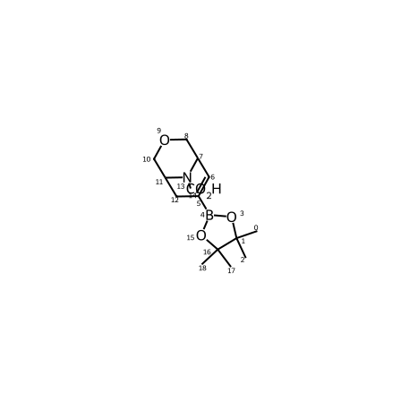 CC1(C)OB(C2=CC3COCC(C2)N3C(=O)O)OC1(C)C